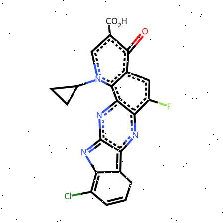 O=C(O)c1cn(C2CC2)c2c(cc(F)c3nc4c(nc32)=NC2=C(Cl)C=CCC=42)c1=O